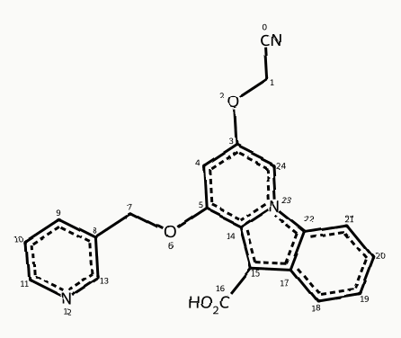 N#CCOc1cc(OCc2cccnc2)c2c(C(=O)O)c3ccccc3n2c1